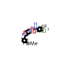 COc1cccc(C2=NOC3(CCN(OC(=O)Nc4ccc(Cl)c(C(F)(F)F)c4)CC3)C2)c1